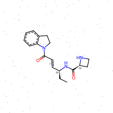 CC[C@@H](/C=C/C(=O)N1CCc2ccccc21)NC(=O)[C@@H]1CCN1